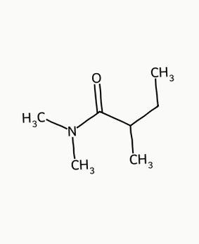 CCC(C)C(=O)N(C)C